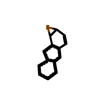 C1=CC2SC2c2cc3ccccc3cc21